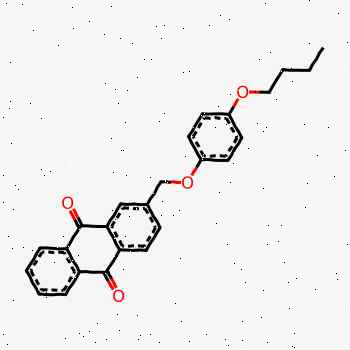 CCCCOc1ccc(OCc2ccc3c(c2)C(=O)c2ccccc2C3=O)cc1